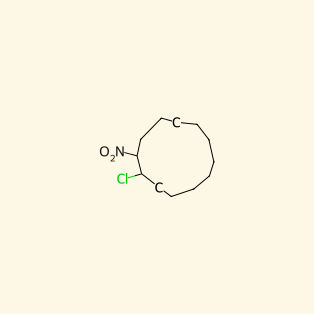 O=[N+]([O-])C1CCCCCCCCCCC1Cl